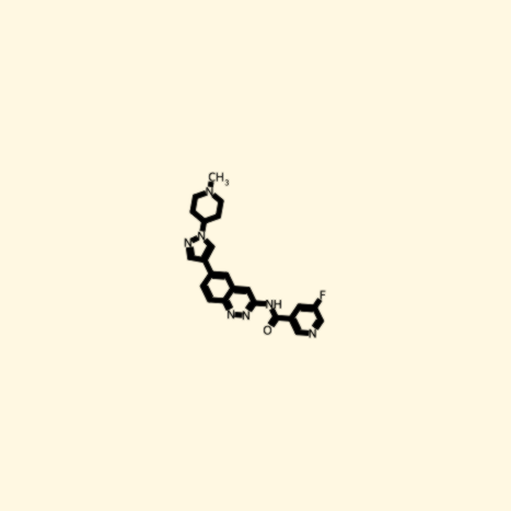 CN1CCC(n2cc(-c3ccc4nnc(NC(=O)c5cncc(F)c5)cc4c3)cn2)CC1